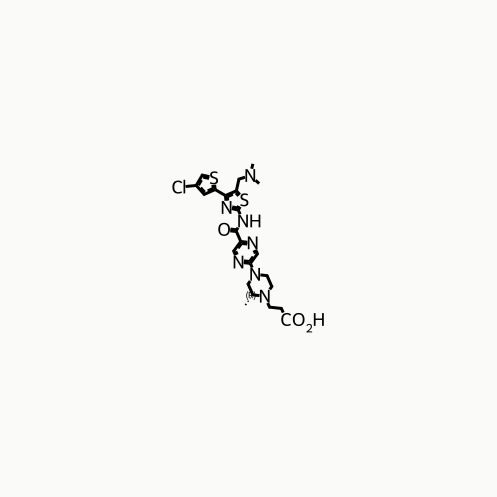 C[C@@H]1CN(c2cnc(C(=O)Nc3nc(-c4cc(Cl)cs4)c(CN(C)C)s3)cn2)CCN1CCC(=O)O